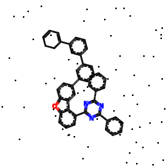 C1=CCCC(c2cccc(-c3cccc(-c4ccc5oc6cccc(-c7nc(-c8ccccc8)nc(-c8ccccc8)n7)c6c5c4)c3)c2)=C1